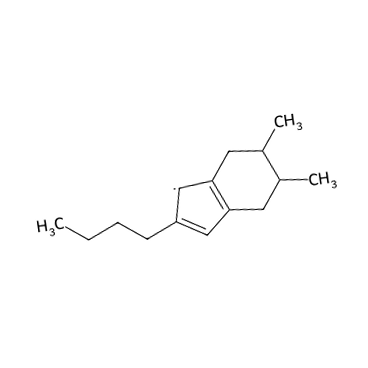 CCCCC1=CC2=C([CH]1)CC(C)C(C)C2